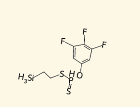 Fc1cc(O[PH](=S)SCC[SiH3])cc(F)c1F